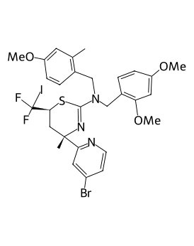 COc1ccc(CN(Cc2ccc(OC)cc2OC)C2=N[C@](C)(c3cc(Br)ccn3)C[C@@H](C(F)(F)I)S2)c(C)c1